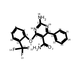 NC(=O)c1c(Oc2ccccc2C(F)(F)F)nc(N)nc1-c1ccccc1